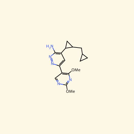 COc1ncc(-c2cc(C3CC3CC3CC3)c(N)nn2)c(OC)n1